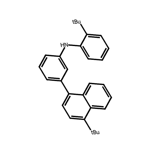 CC(C)(C)c1ccccc1Nc1cccc(-c2ccc(C(C)(C)C)c3ccccc23)c1